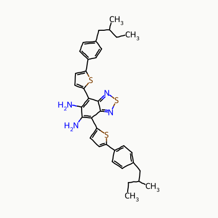 CCC(C)Cc1ccc(-c2ccc(-c3c(N)c(N)c(-c4ccc(-c5ccc(CC(C)CC)cc5)s4)c4nsnc34)s2)cc1